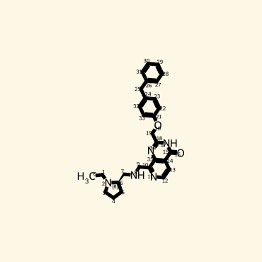 CCN1CCC[C@@H]1CNCc1nccc2c(=O)[nH]c(COc3ccc(Cc4ccccc4)cc3)nc12